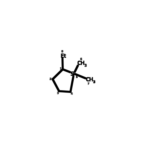 CCC1CCC[Si]1(C)C